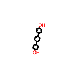 Oc1ccc(C2=CCC(c3ccc(O)cc3)CC2)cc1